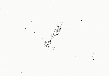 COC[C@H]1C[C@@H](C2Nc3ccc4cc5c(cc4c3N2)OCc2cc(-c3cnc([C@@H]4CC[C@@H]6CC(C)[C@H](NC(=O)OC)C(=O)N64)[nH]3)ccc2-5)N(C(=O)OC(C)(C)C)C1